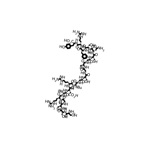 CC[C@H](C)[C@H](NC(=O)[C@H](CCCNC(=N)N)NC(=O)[C@H](CC(=O)O)NC(=O)[C@@H](NC(=O)[C@H](CCCNC(=N)N)NC(=O)CNC(=O)[C@H](CS)NC(=O)[C@H](CO)NC(=O)[C@@H](N)CO)[C@@H](C)CC)C(=O)NCC(=O)N[C@@H](CO)C(=O)NCC(=O)N[C@@H](CC(C)C)C(=O)NCC(=O)N[C@@H](CS)C(=O)N[C@@H](CC(N)=O)C(=O)N[C@@H](CO)C(=O)N[C@@H](Cc1ccccc1)C(=O)N[C@@H](CCCNC(=N)N)C(=O)N[C@@H](Cc1ccc(O)cc1)C(=O)O